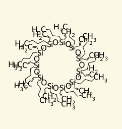 C=C[Si]1(CCCC)O[Si](C=C)(CCCC)O[Si](C=C)(CCCC)O[Si](C=C)(CCCC)O[Si](C=C)(CCCC)O[Si](C=C)(CCCC)O[Si](C=C)(CCCC)O[Si](C=C)(CCCC)O[Si](C=C)(CCCC)O[Si](C=C)(CCCC)O[Si](C=C)(CCCC)O1